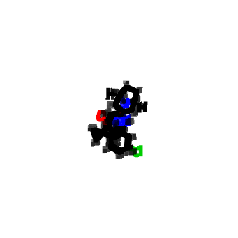 CC(=O)c1ccc(N2[C@@H]3CC[C@H]2C[C@@H](NC(=O)C2(c4ccc(Cl)cc4)CC2)C3)nc1